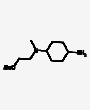 COCCN(C)C1CCC(N)CC1